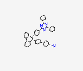 N#Cc1ccc(-c2ccc(-c3c(-c4ccc(-c5nc(-c6ccccc6)nc(-c6ccccc6)n5)cc4)c4ccccc4c4ccccc34)cc2)cc1